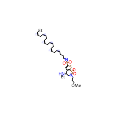 CC/C=C\C/C=C\C/C=C\C/C=C\C/C=C\C/C=C\CC/C=N/S(=O)(=O)c1cc2c(s1)S(=O)(=O)N(CCCOC)C[C@@H]2NCC